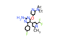 CCN(C(C)=O)c1cc(Oc2nc(N)nc(-c3ccc(F)cc3)c2-c2cc(C)nc(C(F)F)c2)ccn1